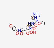 COc1ccc(C(=O)N2CCC(=CC3=C(C(=O)O)N4C(=O)[C@@H](NC(=O)/C(=N\OC5CCCC5)c5csc(N)n5)[C@H]4SC3)C2=O)cc1